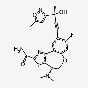 Cc1cc([C@](C)(O)C#Cc2cc3c(cc2F)OC[C@@H](N(C)C)c2sc(C(N)=O)nc2-3)no1